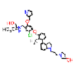 Cc1c(COc2cc(OCc3cccnc3)c(CN[C@@H](CO)C(=O)O)cc2Cl)cccc1-c1cccc2c1CCN2CCCN1CCC(O)C1